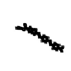 CCCCOC(=O)c1cc2sc(N=Nc3ccc(N=Nc4ccc(N(C)C)cc4)cc3)nc2s1